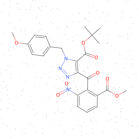 COC(=O)c1cccc([N+](=O)[O-])c1C(=O)c1nnn(Cc2ccc(OC)cc2)c1C(=O)OC(C)(C)C